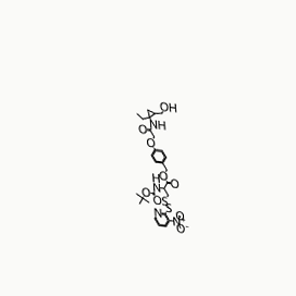 CCC1(NC(=O)COc2ccc(COC(=O)C(CSSc3ncccc3[N+](=O)[O-])NC(=O)OC(C)(C)C)cc2)CC1CO